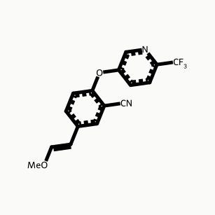 COC=Cc1ccc(Oc2ccc(C(F)(F)F)nc2)c(C#N)c1